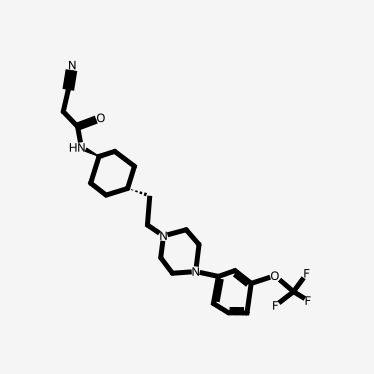 N#CCC(=O)N[C@H]1CC[C@H](CCN2CCN(c3cccc(OC(F)(F)F)c3)CC2)CC1